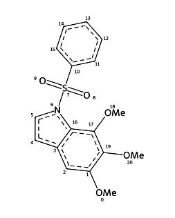 COc1cc2ccn(S(=O)(=O)c3ccccc3)c2c(OC)c1OC